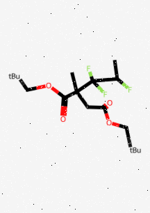 CC(F)C(F)(F)C(C)(CC(=O)OCC(C)(C)C)C(=O)OCC(C)(C)C